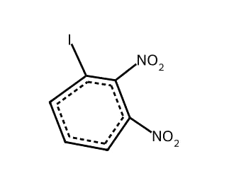 O=[N+]([O-])c1cccc(I)c1[N+](=O)[O-]